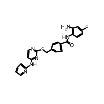 Nc1cc(F)ccc1NC(=O)c1ccc(CSc2nccc(Nc3ccccn3)n2)cc1